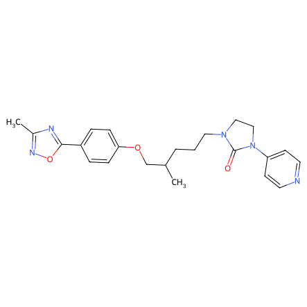 Cc1noc(-c2ccc(OCC(C)CCCN3CCN(c4ccncc4)C3=O)cc2)n1